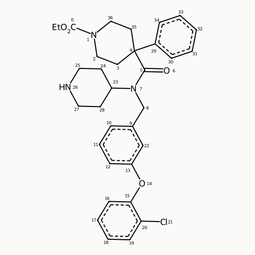 CCOC(=O)N1CCC(C(=O)N(Cc2cccc(Oc3ccccc3Cl)c2)C2CCNCC2)(c2ccccc2)CC1